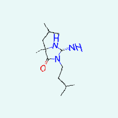 CC(C)CCN1C(=N)NC(C)(CC(C)C)C1=O